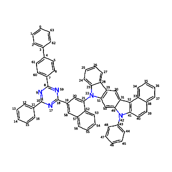 c1ccc(-c2ccc(-c3nc(-c4ccccc4)nc(-c4cc(-n5c6ccccc6c6cc7c8c9ccccc9ccc8n(-c8ccccc8)c7cc65)c5ccccc5c4)n3)cc2)cc1